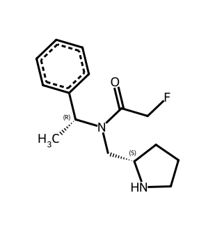 C[C@H](c1ccccc1)N(C[C@@H]1CCCN1)C(=O)CF